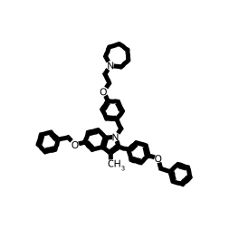 Cc1c(-c2ccc(OCc3ccccc3)cc2)n(Cc2ccc(OCCN3CCCCCC3)cc2)c2ccc(OCc3ccccc3)cc12